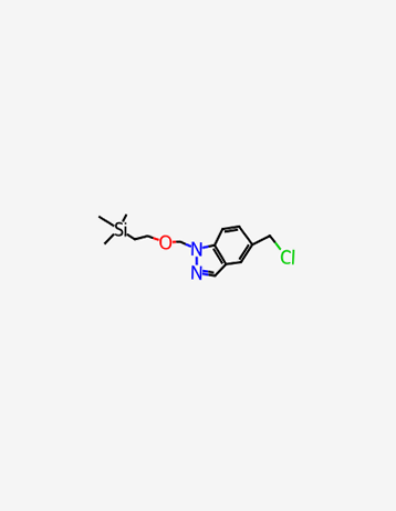 C[Si](C)(C)CCOCn1ncc2cc(CCl)ccc21